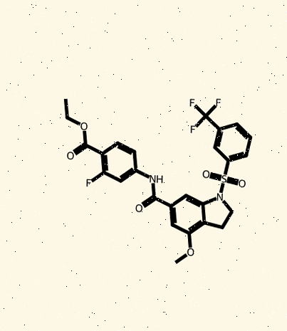 CCOC(=O)c1ccc(NC(=O)c2cc(OC)c3c(c2)N(S(=O)(=O)c2cccc(C(F)(F)F)c2)CC3)cc1F